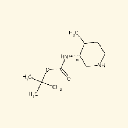 CC1CCNC[C@@H]1NC(=O)OC(C)(C)C